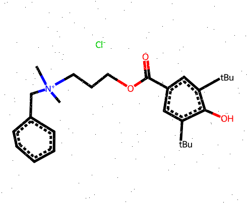 CC(C)(C)c1cc(C(=O)OCCC[N+](C)(C)Cc2ccccc2)cc(C(C)(C)C)c1O.[Cl-]